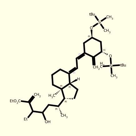 C=C(C(=O)OCC)C(CC)C(O)C[C@@H](C)[C@H]1CC[C@H]2/C(=C/C=C3/C[C@@H](O[Si](C)(C)C(C)(C)C)C[C@H](O[Si](C)(C)C(C)(C)C)C3=C)CCC[C@]12C